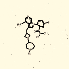 CC(=O)N1CCCC(N2CC(Cc3cn(-c4ccc(F)cc4C(=O)N(C)C(C)C)c4cncc(C)c34)C2)CC1